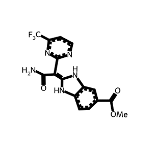 COC(=O)c1ccc2c(c1)N/C(=C(/C(N)=O)c1nccc(C(F)(F)F)n1)N2